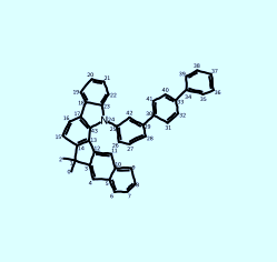 CC1(C)c2cc3ccccc3cc2-c2c1ccc1c3ccccc3n(-c3cccc(-c4ccc(-c5ccccc5)cc4)c3)c21